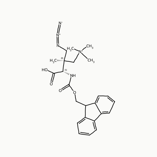 C[C@](CN=[N+]=[N-])(C[N+](C)(C)C)[C@H](NC(=O)OCC1c2ccccc2-c2ccccc21)C(=O)O